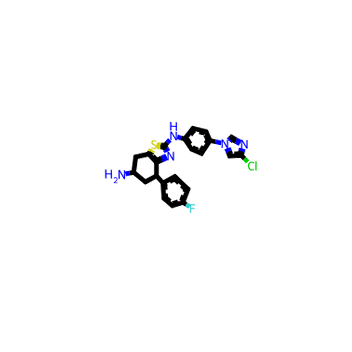 NC1Cc2sc(Nc3ccc(-n4cnc(Cl)c4)cc3)nc2C(c2ccc(F)cc2)C1